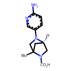 CC(C)(C)C12C[C@H](CN1C(=O)O)N(c1ccc(N)nc1)C2